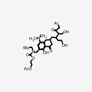 CC(=O)CC(=O)C(CO)C(CCO)CC1CC(=O)c2c(O)c(CN(CC(C)(C)C)C(=O)OCCOC(C)=O)cc(N(C)C)c2C1